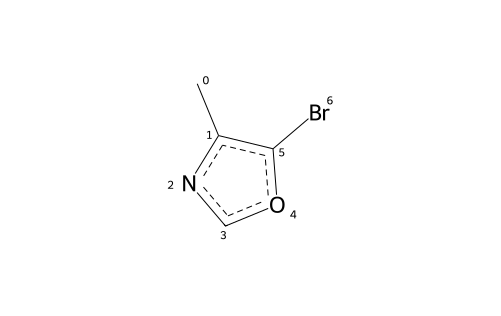 Cc1ncoc1Br